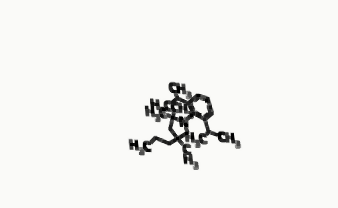 CCCC1(C)CN(c2c(C(C)C)cccc2C(C)C)C(C)(C)C1